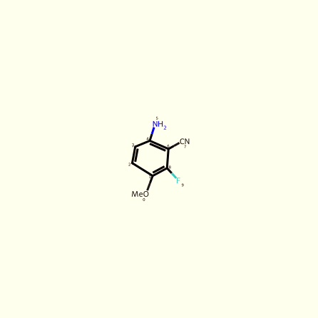 COc1c[c]c(N)c(C#N)c1F